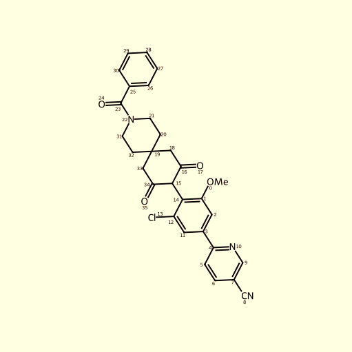 COc1cc(-c2ccc(C#N)cn2)cc(Cl)c1C1C(=O)CC2(CCN(C(=O)c3ccccc3)CC2)CC1=O